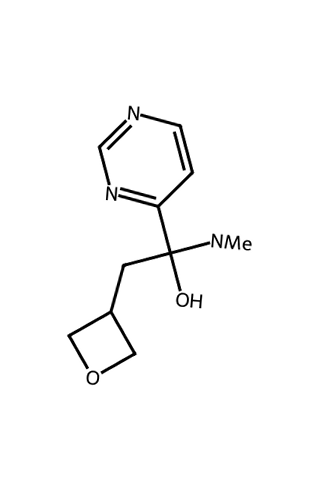 CNC(O)(CC1COC1)c1ccncn1